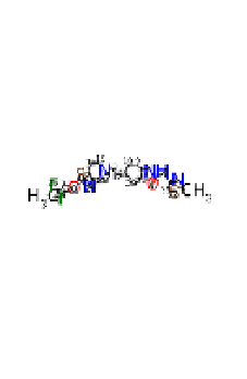 Cc1nc(CC(=O)N[C@H]2CC[C@H](CCN3CCc4sc(OCC(C)(F)F)nc4C3)CC2)cs1